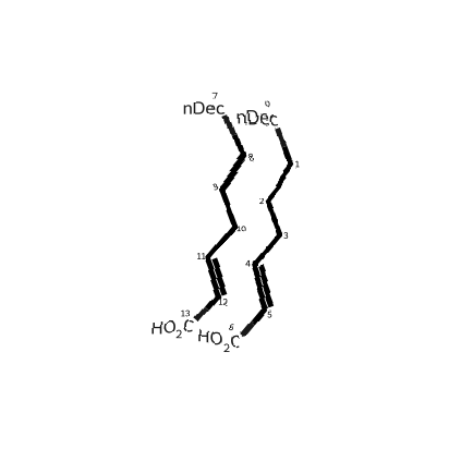 CCCCCCCCCCCCCC=CC(=O)O.CCCCCCCCCCCCCC=CC(=O)O